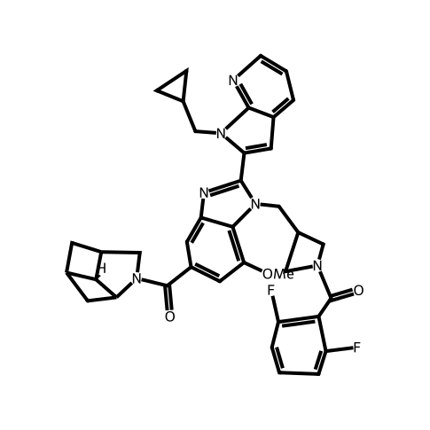 COc1cc(C(=O)N2CC3CC4CC2[C@H]43)cc2nc(-c3cc4cccnc4n3CC3CC3)n(CC3CN(C(=O)c4c(F)cccc4F)C3)c12